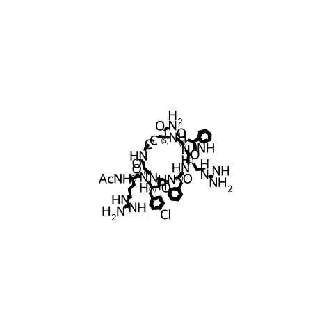 CC(=O)N[C@@H](CCCNC(=N)N)C(=O)N[C@H]1CC(=O)NCCCC[C@@H](C(N)=O)NC(=O)[C@H](Cc2c[nH]c3ccccc23)NC(=O)[C@H](CCCNC(=N)N)NC(=O)[C@@H](Cc2ccccc2)NC(=O)[C@@H]2C[C@@H](Cc3ccc(Cl)cc3)CN12